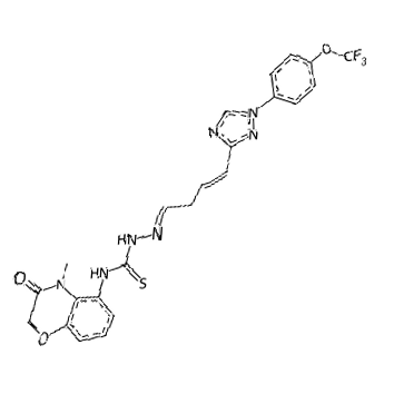 CN1C(=O)COc2cccc(NC(=S)N/N=C/C/C=C/c3ncn(-c4ccc(OC(F)(F)F)cc4)n3)c21